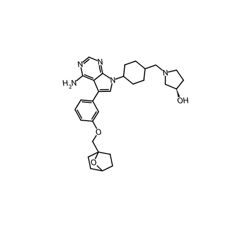 Nc1ncnc2c1c(-c1cccc(OCC34CCC(CC3)O4)c1)cn2C1CCC(CN2CC[C@@H](O)C2)CC1